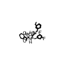 CCc1cccc(CNC[C@H](O)[C@H](Cc2cc(F)cc(F)c2)NC(=O)c2coc3c2C(=O)CCC3)c1